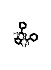 O=C(Nc1cccc(Cl)c1NC(=O)c1ccccc1)c1ccccc1